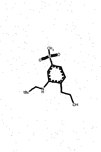 CC(C)(C)CNc1cc(S(C)(=O)=O)ccc1CCO